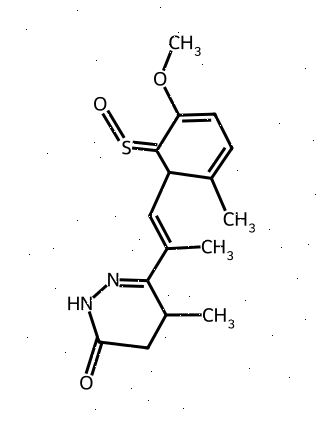 COC1=CC=C(C)C(C=C(C)C2=NNC(=O)CC2C)C1=S=O